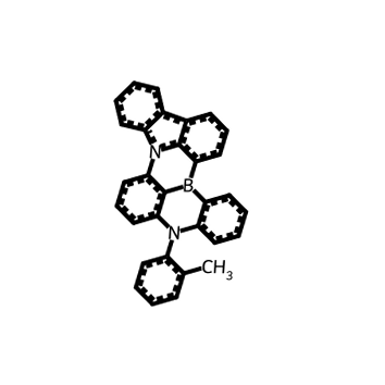 Cc1ccccc1N1c2ccccc2B2c3c1cccc3-n1c3ccccc3c3cccc2c31